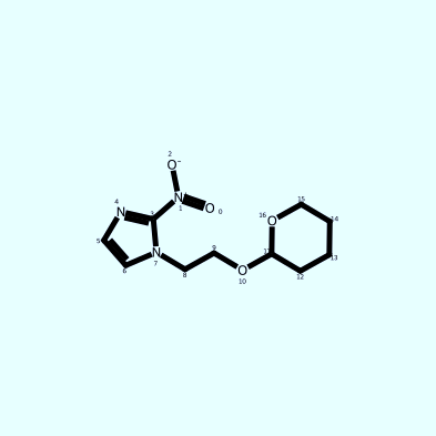 O=[N+]([O-])c1nccn1CCOC1CCCCO1